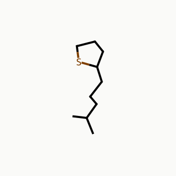 CC(C)CCCC1CCCS1